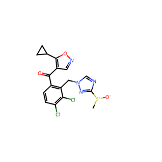 C[S+]([O-])c1ncn(Cc2c(C(=O)c3cnoc3C3CC3)ccc(Cl)c2Cl)n1